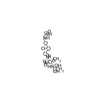 C=C(O)C(CO)NCc1cc([N+](=O)[O-])c(Cn2ncc3c(-c4cccc(-c5ccc(CNCC6CCC(=O)N6)cc5)c4Cl)cccc32)cc1OC